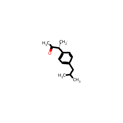 [CH2][C@@H](C(C)=O)c1ccc(CC(C)C)cc1